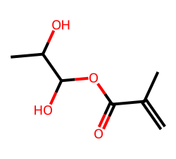 C=C(C)C(=O)OC(O)C(C)O